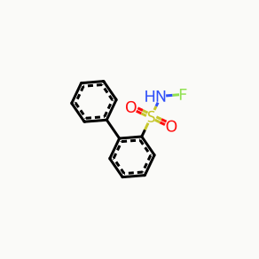 O=S(=O)(NF)c1ccccc1-c1ccccc1